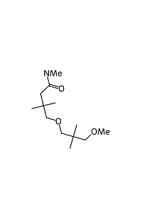 CNC(=O)CC(C)(C)COCC(C)(C)COC